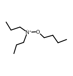 CCCCO[N+](CCC)CCC